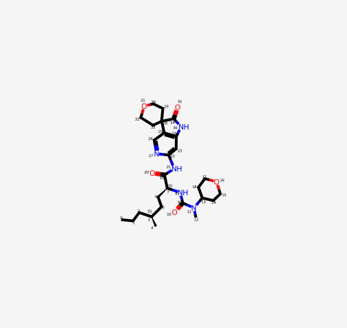 CCC[C@H](C)CC[C@H](NC(=O)N(C)C1CCOCC1)C(=O)Nc1cc2c(cn1)C1(CCOCC1)C(=O)N2